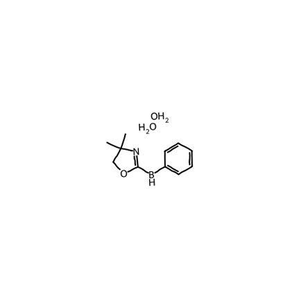 CC1(C)COC(Bc2ccccc2)=N1.O.O